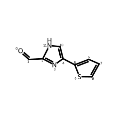 O=Cc1nc(-c2cccs2)c[nH]1